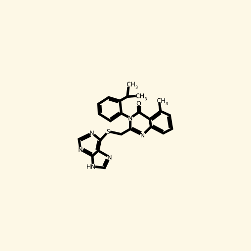 Cc1cccc2nc(CSc3ncnc4[nH]cnc34)n(-c3ccccc3C(C)C)c(=O)c12